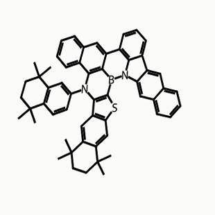 CC1(C)CCC(C)(C)c2cc(N3c4c5c(cc6ccccc46)-c4cccc6c7cc8ccccc8cc7n(c46)B5c4sc5cc6c(cc5c43)C(C)(C)CCC6(C)C)ccc21